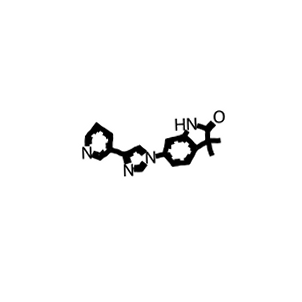 CC1(C)C(=O)Nc2cc(-n3cnc(-c4cccnc4)c3)ccc21